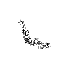 O=c1n(CCCC2CCCC2)nnn1-c1ccc(S(=O)(=O)Nc2ccc3c(c2)CCC(CNCC(O)c2cccnc2)O3)cc1